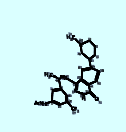 CC(=O)Nc1cc([C@@H](C)Nc2n[nH]c(=O)c3ccc(C4CCCN(C)C4)cc23)cc(C(F)(F)F)c1